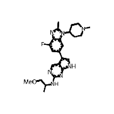 COCC(C)Nc1ncc2c(-c3cc(F)c4nc(C)n(C5CCN(C)CC5)c4c3)c[nH]c2n1